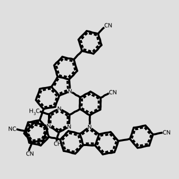 Cc1nc(C)nc(-c2c(-n3c4cc(-c5ccc(C#N)cc5)ccc4c4ccc(-c5ccc(C#N)cc5)cc43)cc(C#N)cc2-n2c3cc(-c4ccc(C#N)cc4)ccc3c3ccc(-c4ccc(C#N)cc4)cc32)n1